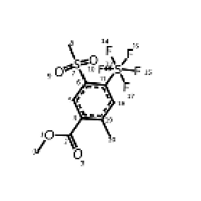 COC(=O)c1cc(S(C)(=O)=O)c(S(F)(F)(F)(F)F)cc1C